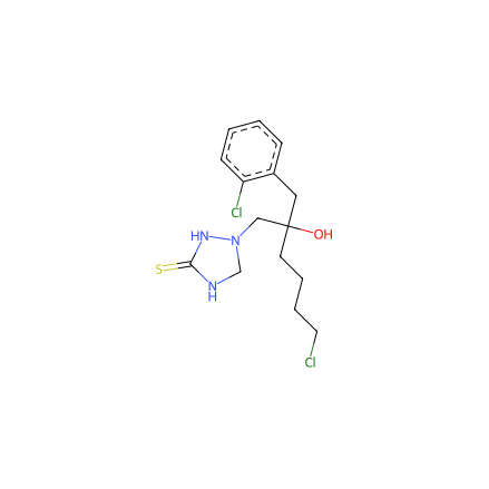 OC(CCCCCl)(Cc1ccccc1Cl)CN1CNC(=S)N1